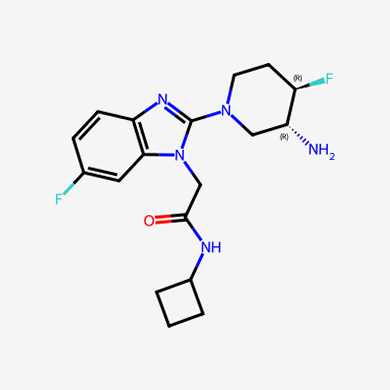 N[C@@H]1CN(c2nc3ccc(F)cc3n2CC(=O)NC2CCC2)CC[C@H]1F